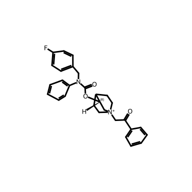 O=C(C[N+]12CCC(CC1)[C@@H](OC(=O)N(Cc1ccc(F)cc1)c1ccccc1)C2)c1ccccc1